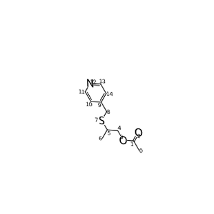 CC(=O)OCC(C)SCc1ccncc1